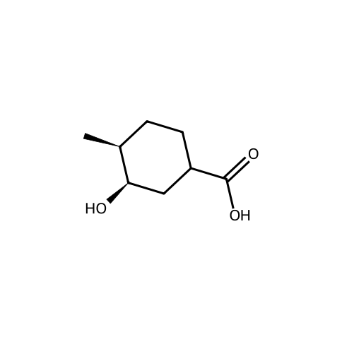 C[C@H]1CCC(C(=O)O)C[C@H]1O